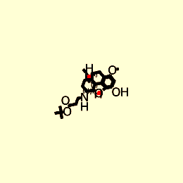 COc1cc(O)c2c3c1C[C@@H]1[C@@H]4CC[C@@H](NCCC(=O)OC(C)(C)C)[C@H](O2)[C@]34CCN1C